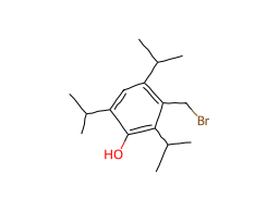 CC(C)c1cc(C(C)C)c(CBr)c(C(C)C)c1O